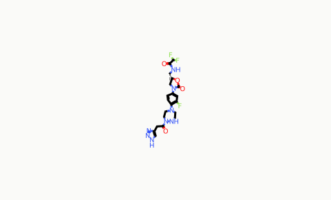 O=C(NC[C@H]1CN(c2ccc(N3CCNN(C(=O)Cc4c[nH]nn4)CC3)c(F)c2)C(=O)O1)C(F)F